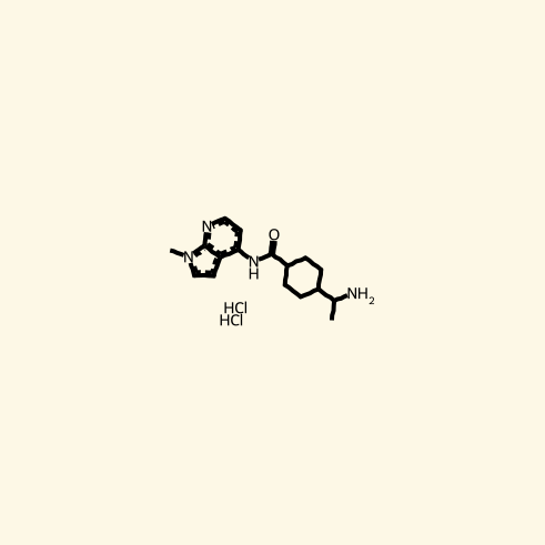 CC(N)C1CCC(C(=O)Nc2ccnc3c2ccn3C)CC1.Cl.Cl